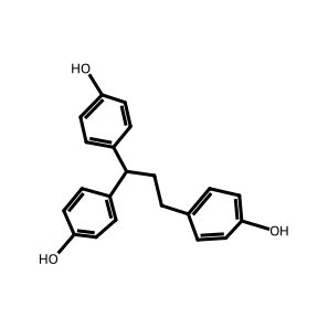 Oc1ccc(CCC(c2ccc(O)cc2)c2ccc(O)cc2)cc1